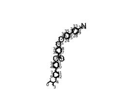 CCC(C)Cc1ccc(-c2ccc(OC(=O)c3ccc(OCOc4ccc(-c5ccc(C#N)cc5)cc4)cc3)cc2)cc1